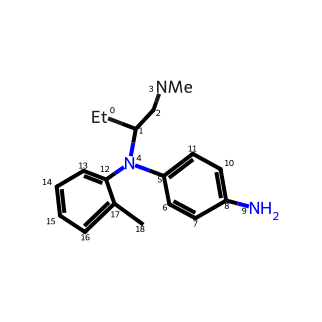 CCC(CNC)N(c1ccc(N)cc1)c1ccccc1C